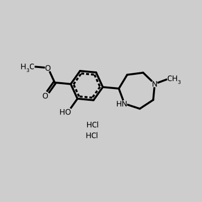 COC(=O)c1ccc(C2CCN(C)CCN2)cc1O.Cl.Cl